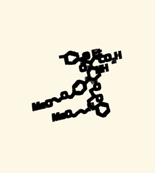 CCC(C(=O)O)C([C@@H]1C[C@H](c2ccc(COCCOC)cc2)[C@@H](OCC2CN(CCCOC)c3ccccc3O2)CN1)S(=O)(=O)c1ccc(C)cc1